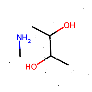 CC(O)C(C)O.CN